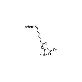 CCCCCC/C=C\CCCCCC(=O)O[C@H](CCCCCCCCCCC)CC(=O)C(C)C